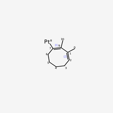 CC1=C/CCCC/[C]([Pt])=C\1C